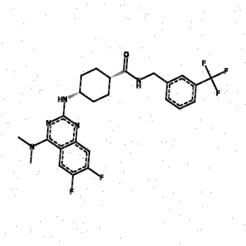 CN(C)c1nc(N[C@H]2CC[C@@H](C(=O)NCc3cccc(C(F)(F)F)c3)CC2)nc2cc(F)c(F)cc12